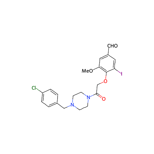 COc1cc(C=O)cc(I)c1OCC(=O)N1CCN(Cc2ccc(Cl)cc2)CC1